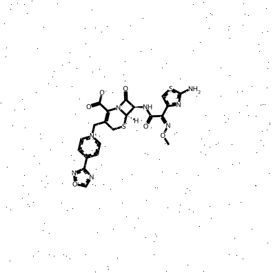 CO/N=C(\C(=O)N[C@@H]1C(=O)N2C(C(=O)[O-])=C(C[n+]3ccc(-c4ncon4)cc3)CS[C@H]12)c1csc(N)n1